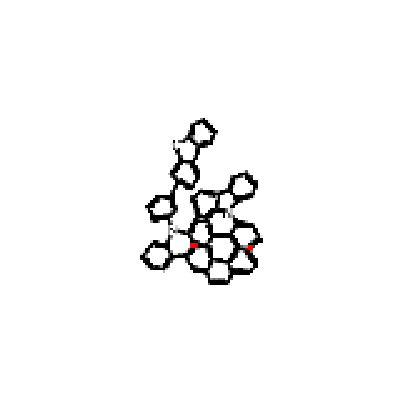 c1cc(-c2ccc3c(c2)oc2ccccc23)cc(N(c2ccc(-c3ccccc3-n3c4ccccc4c4ccccc43)cc2)c2ccccc2-c2ccc3c(ccc4ccccc43)c2)c1